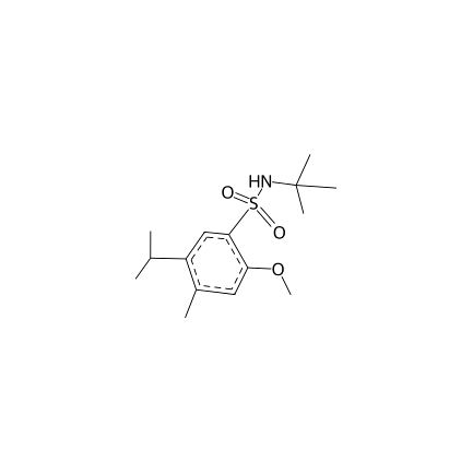 COc1cc(C)c(C(C)C)cc1S(=O)(=O)NC(C)(C)C